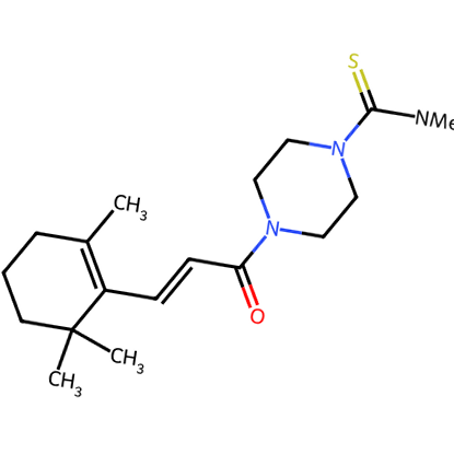 CNC(=S)N1CCN(C(=O)C=CC2=C(C)CCCC2(C)C)CC1